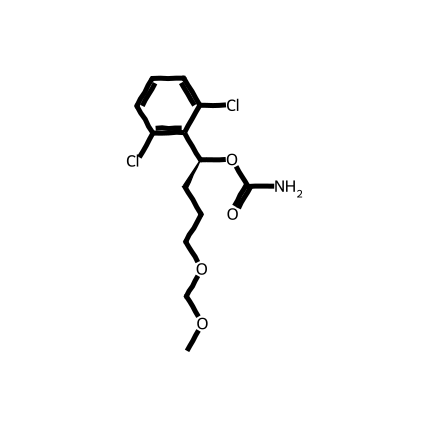 COCOCCC[C@H](OC(N)=O)c1c(Cl)cccc1Cl